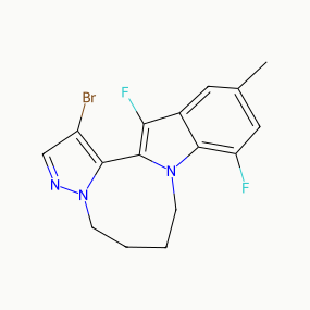 Cc1cc(F)c2c(c1)c(F)c1n2CCCCn2ncc(Br)c2-1